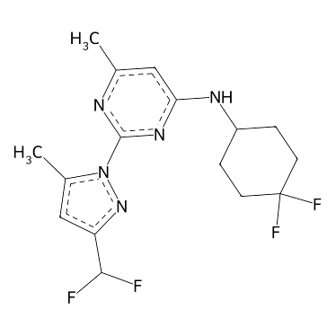 Cc1cc(NC2CCC(F)(F)CC2)nc(-n2nc(C(F)F)cc2C)n1